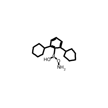 NOB(O)c1c(C2CCCCC2)cccc1C1CCCCC1